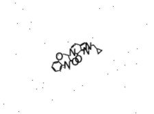 CN1C(=O)[C@@H](n2ccc3cn(CC4CC4)nc3c2=O)COc2ccccc21